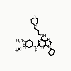 Cl.Cl.Cl.N[C@H]1CC[C@H](Nc2nc(NCCCN3CCOCC3)c3ncn(C4CCCC4)c3n2)CC1